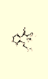 CCSc1ncccc1C(=O)C(C)C